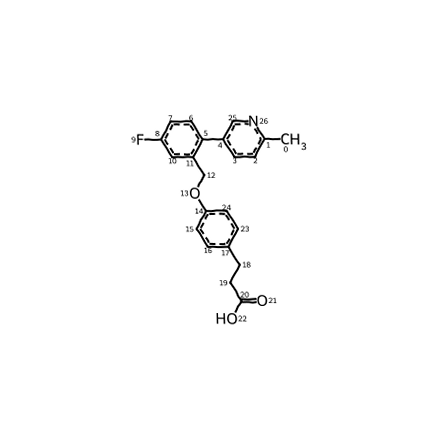 Cc1ccc(-c2ccc(F)cc2COc2ccc(CCC(=O)O)cc2)cn1